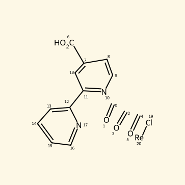 C=O.C=O.C=O.O=C(O)c1ccnc(-c2ccccn2)c1.[Cl][Re]